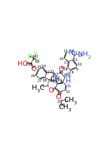 CCOc1cc(C(Nc2ccc3c(N)nccc3c2)C(=O)NCc2ccccc2CC)ccc1OC(C)C.O=C(O)C(F)(F)F